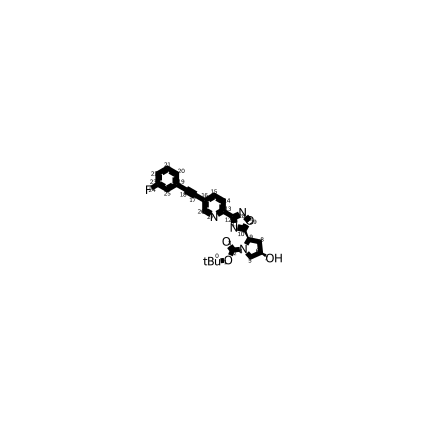 CC(C)(C)OC(=O)N1C[C@H](O)C[C@@H]1c1nc(-c2ccc(C#Cc3cccc(F)c3)cn2)no1